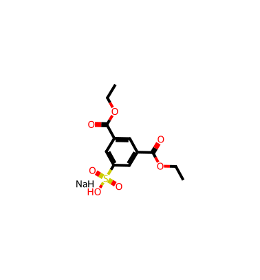 CCOC(=O)c1cc(C(=O)OCC)cc(S(=O)(=O)O)c1.[NaH]